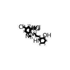 Cl.Cl.O[C@H]1CCCN[C@@H]1CCCn1cnc2cc(Cl)cc(Br)c21